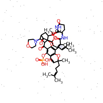 CC(C)=CCCC1(C)C=Cc2c(c(CC=C(C)C)c3c(c2OP(=O)(O)O)C(=O)C2C(N4CCOCC4)C4CC5C(C)(C)OC(C/C=C(/C)C(=O)NC6CCC(=O)NC6=O)(C4=O)C25O3)O1